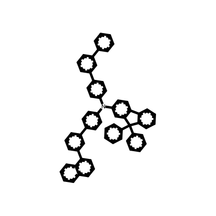 c1ccc(-c2cccc(-c3ccc(N(c4ccc(-c5cccc(-c6cccc7ccccc67)c5)cc4)c4ccc5c(c4)C(c4ccccc4)(c4ccccc4)c4ccccc4-5)cc3)c2)cc1